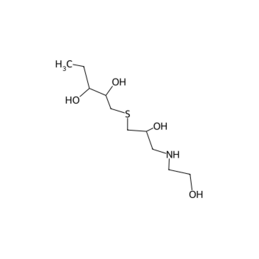 CCC(O)C(O)CSCC(O)CNCCO